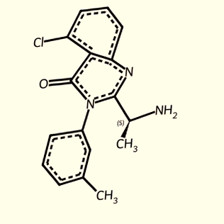 Cc1cccc(-n2c([C@H](C)N)nc3cccc(Cl)c3c2=O)c1